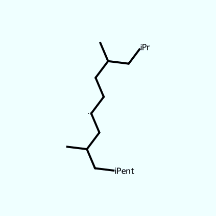 CCCC(C)CC(C)C[CH]CCC(C)CC(C)C